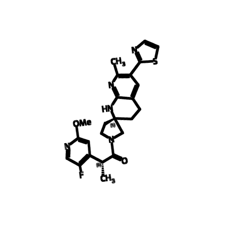 COc1cc([C@@H](C)C(=O)N2CC[C@@]3(CCc4cc(-c5nccs5)c(C)nc4N3)C2)c(F)cn1